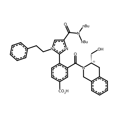 CCCCN(CCCC)C(=O)c1cn(CCc2ccccc2)c(-c2ccc(C(=O)O)cc2C(=O)N2Cc3ccccc3C[C@H]2CO)n1